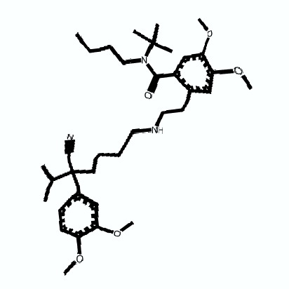 CCCCN(C(=O)c1cc(OC)c(OC)cc1CCNCCCCC(C#N)(c1ccc(OC)c(OC)c1)C(C)C)C(C)(C)C